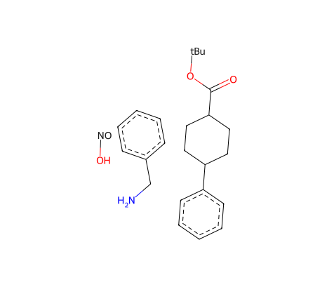 CC(C)(C)OC(=O)C1CCC(c2ccccc2)CC1.NCc1ccccc1.O=NO